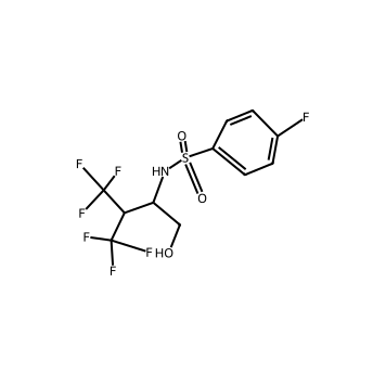 O=S(=O)(NC(CO)C(C(F)(F)F)C(F)(F)F)c1ccc(F)cc1